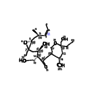 C/C=C\[C@H](C)[C@H]1OC1(C)[C@@H](O)[C@@H](CO)C(=O)C1COC(O)(CC)CC1O